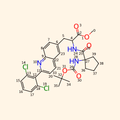 COC(=O)C(Cc1ccc2nc(-c3c(Cl)cccc3Cl)ccc2c1)NC(=O)C1(NC(=O)OC(C)(C)C)CCCC1